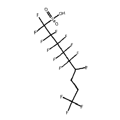 O=S(=O)(O)C(F)(F)C(F)(F)C(F)(F)C(F)(F)C(F)(F)C(F)CCC(F)(F)F